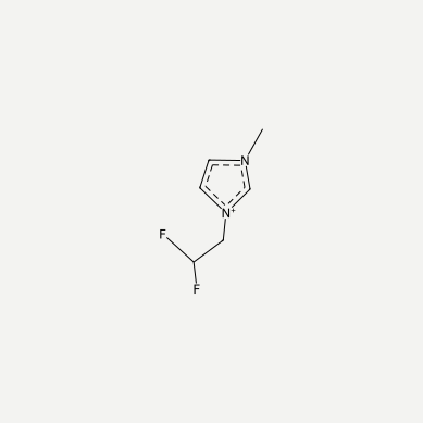 Cn1cc[n+](CC(F)F)c1